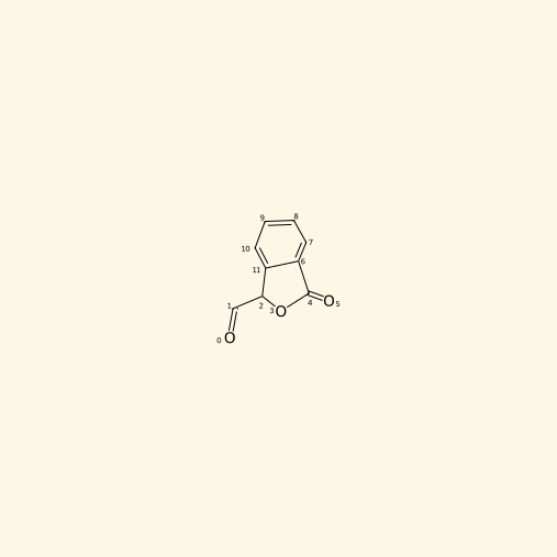 O=[C]C1OC(=O)c2ccccc21